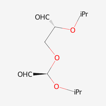 CC(C)O[C@@H](C=O)OC[C@H](C=O)OC(C)C